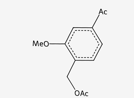 COc1cc(C(C)=O)ccc1COC(C)=O